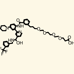 O=C(O)CCOCCOCCOCCOCCCc1cccc(C(=O)Nc2ccc(N3CCCCC3)cc2-c2cc(C(O)NCc3cccc(C(F)(F)F)c3)ccn2)c1